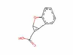 O=C(O)C1=C2c3ccccc3OC12